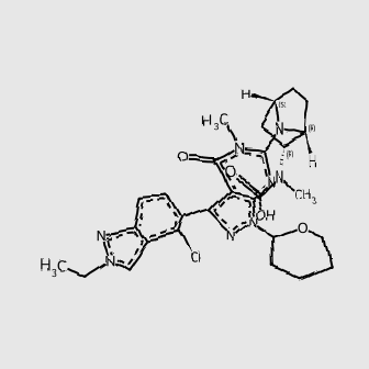 CCn1cc2c(Cl)c(-c3nn(C4CCCCO4)c4nc(N5[C@H]6CC[C@@H]5[C@H](N(C)C(=O)O)C6)n(C)c(=O)c34)ccc2n1